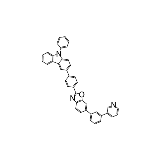 c1ccc(-n2c3ccccc3c3cc(-c4ccc(-c5nc6ccc(-c7cccc(-c8cccnc8)c7)cc6o5)cc4)ccc32)cc1